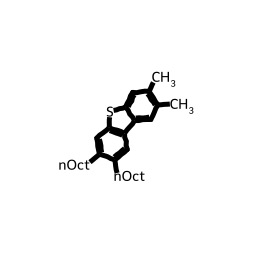 CCCCCCCCc1cc2sc3cc(C)c(C)cc3c2cc1CCCCCCCC